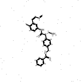 C=N/C=C\c1cc(NC(=O)[C@H](CN)c2ccc(COC(=O)c3ccccc3)cc2)ccc1C